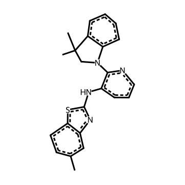 Cc1ccc2sc(Nc3cccnc3N3CC(C)(C)c4ccccc43)nc2c1